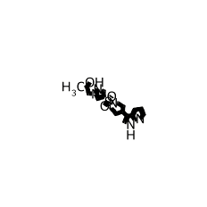 C[C@@H](O)Cn1cc(S(=O)(=O)N2CCC(c3c[nH]c4ncccc34)CC2)cn1